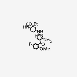 CCOC(=O)N[C@H]1CC[C@H](Nc2ncc(C(=O)c3cc(F)ccc3OC)c(N)n2)CC1